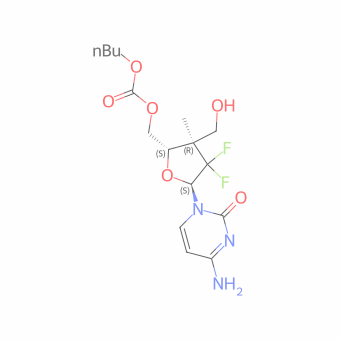 CCCCOC(=O)OC[C@H]1O[C@H](n2ccc(N)nc2=O)C(F)(F)[C@]1(C)CO